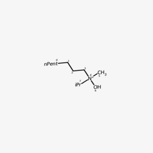 CCCCCCCC[N+](C)(O)C(C)C